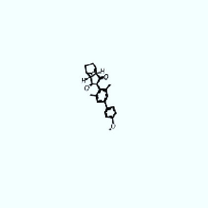 COc1ccc(-c2cc(C)c(C3C(=O)[C@@H]4C5CCC(O5)[C@@H]4C3=O)c(C)c2)cc1